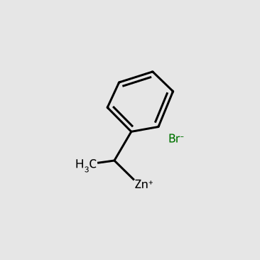 C[CH]([Zn+])c1ccccc1.[Br-]